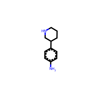 Nc1ccc(C2CCCNC2)cc1